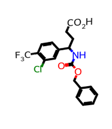 O=C(O)CCC(NC(=O)OCc1ccccc1)c1ccc(C(F)(F)F)c(Cl)c1